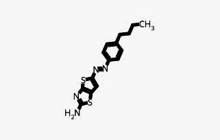 CCCCc1ccc(N=Nc2cc3sc(N)nc3s2)cc1